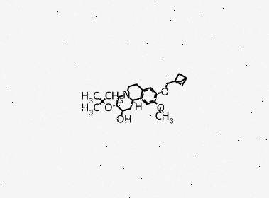 COc1cc2c(cc1OCC13CC(C1)C3)CCN1C[C@@H](OC(C)(C)C)[C@H](O)C[C@H]21